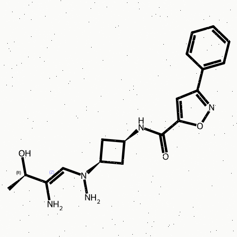 C[C@@H](O)/C(N)=C/N(N)[C@H]1C[C@@H](NC(=O)c2cc(-c3ccccc3)no2)C1